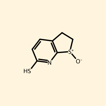 [O-][S+]1CCc2ccc(S)nc21